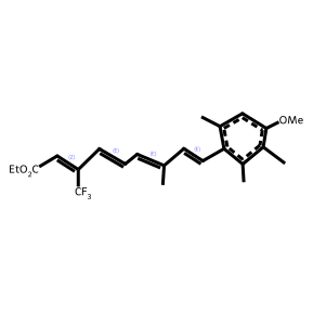 CCOC(=O)/C=C(/C=C/C=C(C)/C=C/c1c(C)cc(OC)c(C)c1C)C(F)(F)F